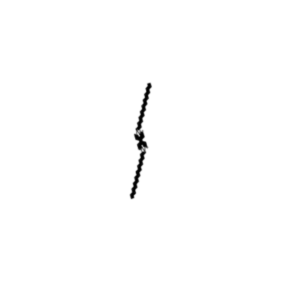 CCCCCCCCCCCCCCCCC[n+]1ccc(-c2cc[n+](CCCCCCCCCCCCCCCCC)cc2)cc1